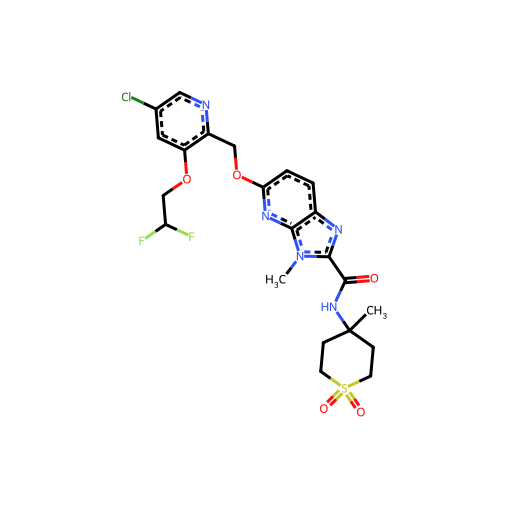 Cn1c(C(=O)NC2(C)CCS(=O)(=O)CC2)nc2ccc(OCc3ncc(Cl)cc3OCC(F)F)nc21